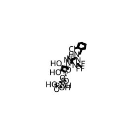 O=P(O)(O)CP(=O)(O)OC[C@H]1O[C@@H](n2nnc3c(NCc4ccccc4Cl)nc(C(F)(F)F)nc32)[C@H](O)[C@@H]1O